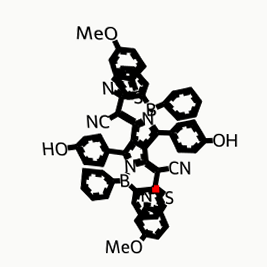 COc1ccc2sc(/C(C#N)=c3/c4c(-c5ccc(O)cc5)n(B(c5ccccc5)c5ccccc5)/c(=C(/C#N)c5nc6cc(OC)ccc6s5)c4c(-c4ccc(O)cc4)n3B(c3ccccc3)c3ccccc3)nc2c1